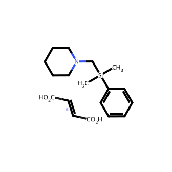 C[Si](C)(CN1CCCCC1)c1ccccc1.O=C(O)/C=C/C(=O)O